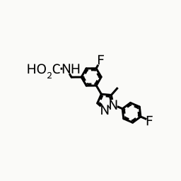 Cc1c(-c2cc(F)cc(CNC(=O)O)c2)cnn1-c1ccc(F)cc1